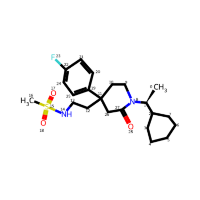 C[C@@H](C1CCCCC1)N1CCC(CCNS(C)(=O)=O)(c2ccc(F)cc2)CC1=O